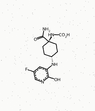 NC(=O)[C@]1(NC(=O)O)CC[C@H](Nc2cc(F)cnc2O)CC1